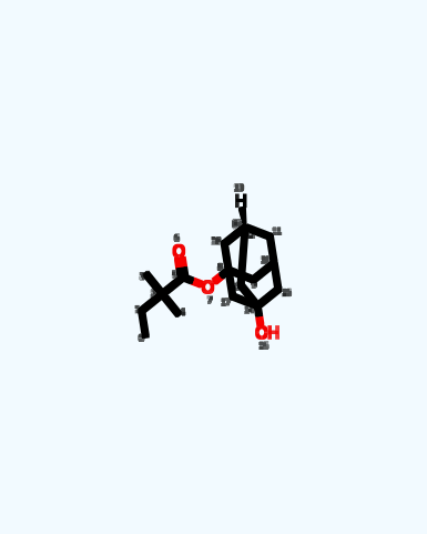 CCC(C)(C)C(=O)OC12CC3C[C@H](CC(O)(C3)C1)C2